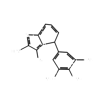 COc1cc(C2C=CC=C3N=C(N)C(C#N)=C32)cc(OC)c1OC